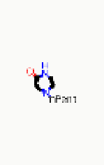 CCCCCN1CCNC(=O)CC1